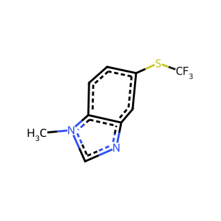 Cn1cnc2cc(SC(F)(F)F)ccc21